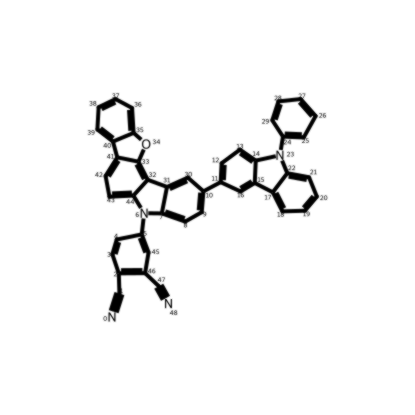 N#Cc1ccc(-n2c3ccc(-c4ccc5c(c4)c4ccccc4n5-c4ccccc4)cc3c3c4oc5ccccc5c4ccc32)cc1C#N